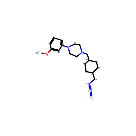 COc1cccc(N2CCN(CC3CCC(CN=[N+]=[N-])CC3)CC2)c1